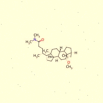 CO[C@@H]1C[C@H]2[C@@H]3CC[C@H]([C@H](C)CCC(=O)N(C)C)[C@@]3(C)CC[C@@H]2[C@@]2(C)CC[C@H]3C[C@]312